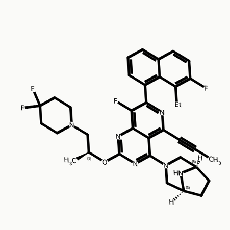 CC#Cc1nc(-c2cccc3ccc(F)c(CC)c23)c(F)c2nc(O[C@@H](C)CN3CCC(F)(F)CC3)nc(N3C[C@H]4CC[C@@H](C3)N4)c12